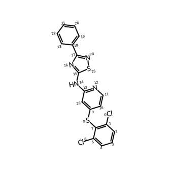 Clc1cccc(Cl)c1Sc1ccnc(Nc2nc(-c3ccccc3)ns2)c1